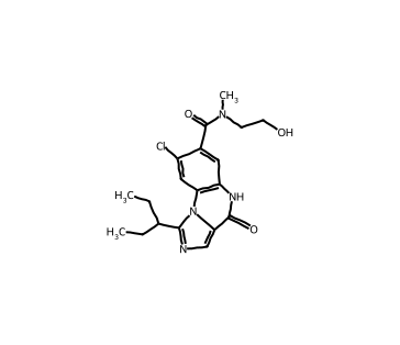 CCC(CC)c1ncc2c(=O)[nH]c3cc(C(=O)N(C)CCO)c(Cl)cc3n12